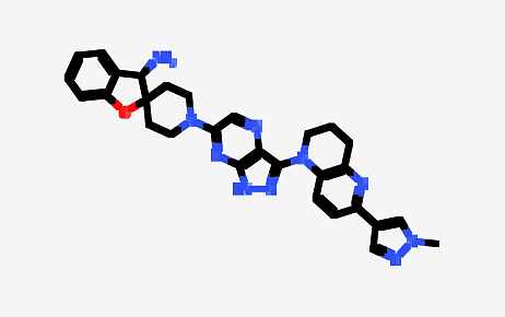 Cn1cc(-c2ccc3c(n2)CCCN3c2n[nH]c3nc(N4CCC5(CC4)Oc4ccccc4[C@H]5N)cnc23)cn1